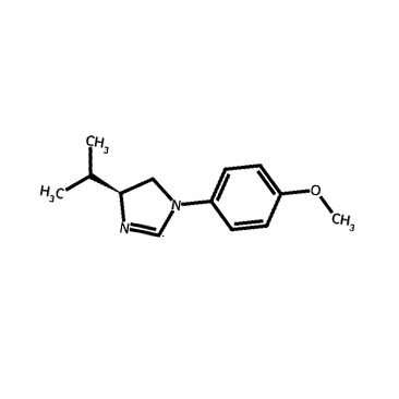 COc1ccc(N2[C]=N[C@@H](C(C)C)C2)cc1